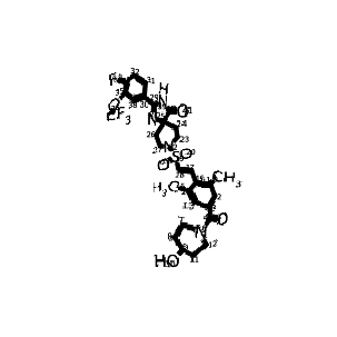 Cc1cc(C(=O)N2CCC(O)CC2)cc(C)c1/C=C/S(=O)(=O)N1CCC2(CC1)N=C(c1ccc(F)c(OC(F)(F)F)c1)NC2=O